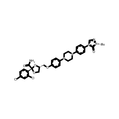 CC[C@@H](C)n1ncn(-c2ccc(N3CCN(c4ccc(OC[C@@H]5CO[C@@](C(N)=O)(c6ccc(Cl)cc6Cl)O5)cc4)CC3)cc2)c1=O